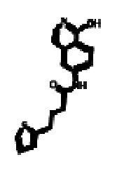 O=C(CCCc1cccs1)Nc1ccc2c(O)nccc2c1